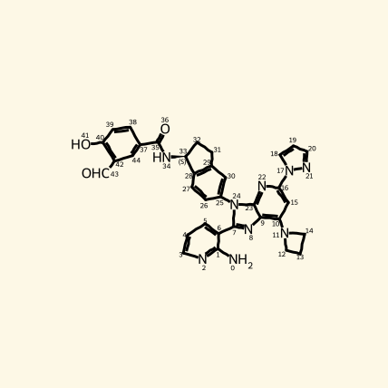 Nc1ncccc1-c1nc2c(N3CCC3)cc(-n3cccn3)nc2n1-c1ccc2c(c1)CC[C@@H]2NC(=O)c1ccc(O)c(C=O)c1